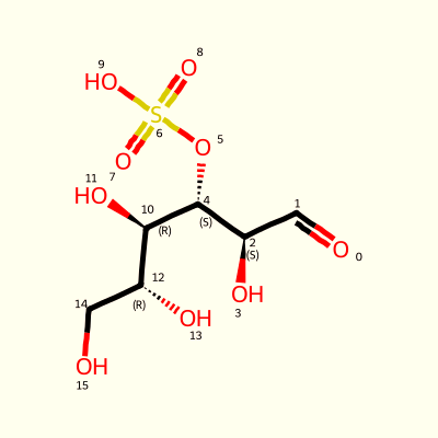 O=C[C@@H](O)[C@@H](OS(=O)(=O)O)[C@H](O)[C@H](O)CO